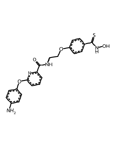 Nc1ccc(Oc2cccc(C(=O)NCCOc3ccc(C(=S)NO)cc3)n2)cc1